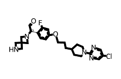 O=C[C@H](c1ccc(OCCCC2CCN(c3ncc(Cl)cn3)CC2)cc1F)N1CC2(CNC2)C1